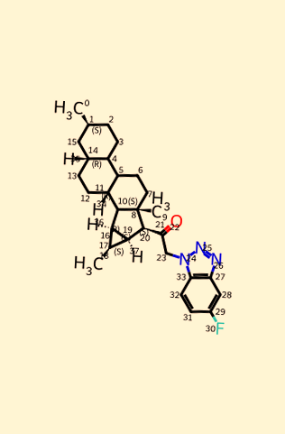 C[C@H]1CCC2C3CC[C@@]4(C)C([C@@H]3CC[C@@H]2C1)[C@@H]1[C@H](C)[C@@H]1[C@@H]4C(=O)Cn1nnc2cc(F)ccc21